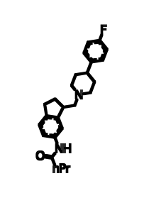 CCCC(=O)Nc1ccc2c(c1)C(CN1CCC(c3ccc(F)cc3)CC1)CC2